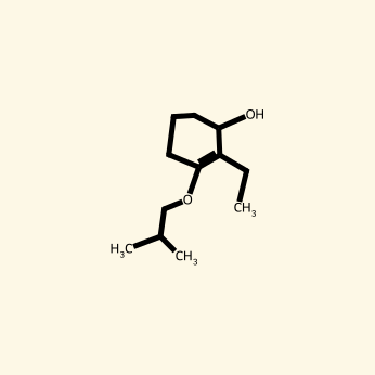 CCC1=C(OCC(C)C)CCCC1O